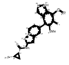 CCOc1c(F)c(SC)c(-c2ccn3nc(NC(=O)[C@@H]4C[C@@H]4F)cc3c2)c2cn[nH]c12